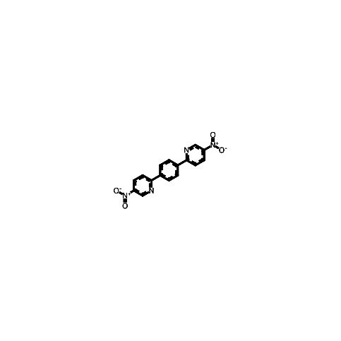 O=[N+]([O-])c1ccc(-c2ccc(-c3ccc([N+](=O)[O-])cn3)cc2)nc1